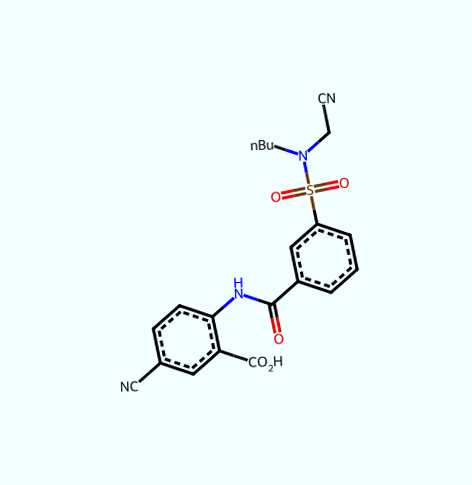 CCCCN(CC#N)S(=O)(=O)c1cccc(C(=O)Nc2ccc(C#N)cc2C(=O)O)c1